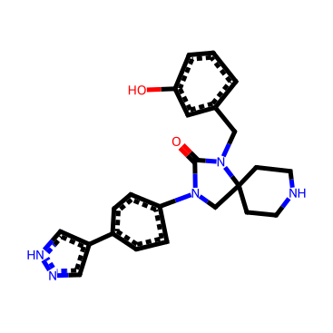 O=C1N(c2ccc(-c3cn[nH]c3)cc2)CC2(CCNCC2)N1Cc1cccc(O)c1